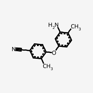 Cc1ccc(Oc2ccc(C#N)cc2C)cc1N